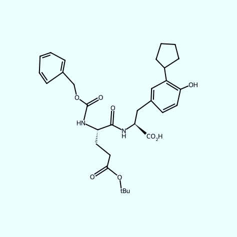 CC(C)(C)OC(=O)CC[C@H](NC(=O)OCc1ccccc1)C(=O)N[C@@H](Cc1ccc(O)c(C2CCCC2)c1)C(=O)O